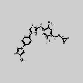 Cc1cn(-c2ccc(-c3csc(Nc4cc(C)c(OCC5CC5)cc4C)n3)cc2)cn1